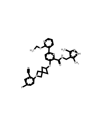 CCOc1ncccc1-c1ccc(OC2CC3(C2)CN(c2ccc(F)cc2C#N)C3)c(C(=O)NCc2c(C)n[nH]c2C)n1